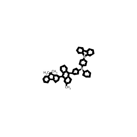 Cc1ccc2c(-c3ccc(N(c4ccccc4)c4ccc(-n5c6ccccc6c6ccccc65)cc4)cc3)c3ccccc3c(-c3ccc4c(c3)C(C)(C)c3ccccc3-4)c2c1